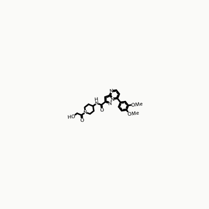 COc1ccc(-c2ccnc3cc(C(=O)NC4CCN(C(=O)CO)CC4)nn23)cc1OC